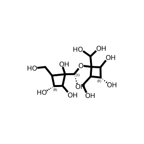 OCC1[C@@H](O)C(O)C1(O[C@H](O)C1(O)C(O)[C@H](O)C1CO)C(O)O